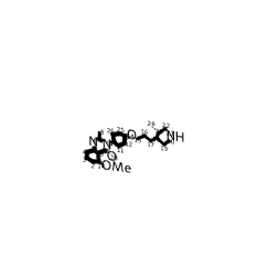 COc1cccc2nc(C)n(-c3ccc(OCCCC4CCNC[C@H]4C)cc3)c(=O)c12